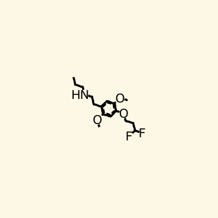 CCCNCCc1cc(OC)c(OCCC(F)F)cc1OC